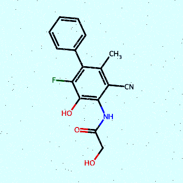 Cc1c(C#N)c(NC(=O)CO)c(O)c(F)c1-c1ccccc1